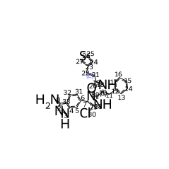 Nc1n[nH]c2cc(-c3nc([C@H](Cc4ccccc4)NC(=O)/C=C/c4ccsc4)[nH]c3Cl)ccc12